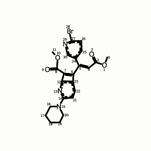 COC(=O)C=C(C1=C(C(=O)OC)c2nc(N3CCCCC3)ccc21)c1ccc(Br)nc1